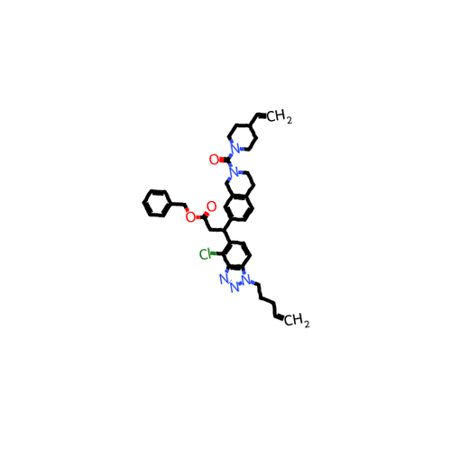 C=CCCCn1nnc2c(Cl)c(C(CC(=O)OCc3ccccc3)c3ccc4c(c3)CN(C(=O)N3CCC(C=C)CC3)CC4)ccc21